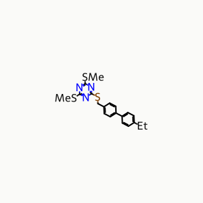 CCc1ccc(-c2ccc(CSc3nc(SC)nc(SC)n3)cc2)cc1